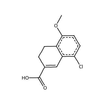 COc1ccc(Cl)c2c1CCC(C(=O)O)=C2